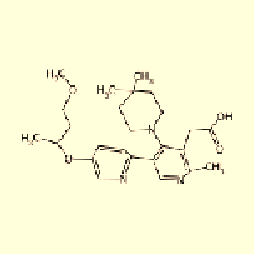 COCCC(C)Oc1ccc(-c2cnc(C)c(CC(=O)O)c2N2CCC(C)(C)CC2)nc1